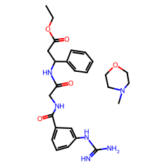 CCOC(=O)CC(NC(=O)CNC(=O)c1cccc(NC(=N)N)c1)c1ccccc1.CN1CCOCC1